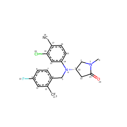 CN1C[C@@H](N(Cc2ccc(F)cc2C(F)(F)F)c2ccc(C#N)c(Cl)c2)CC1=O